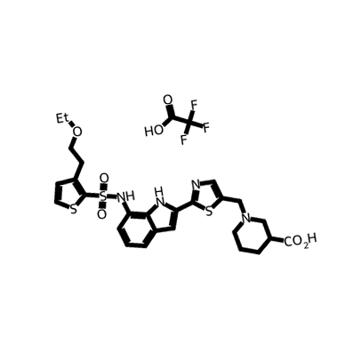 CCOCCc1ccsc1S(=O)(=O)Nc1cccc2cc(-c3ncc(CN4CCCC(C(=O)O)C4)s3)[nH]c12.O=C(O)C(F)(F)F